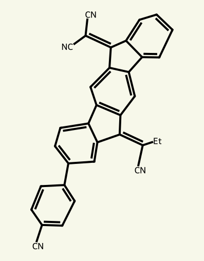 CC/C(C#N)=C1/c2cc(-c3ccc(C#N)cc3)ccc2-c2cc3c(cc21)-c1ccccc1C3=C(C#N)C#N